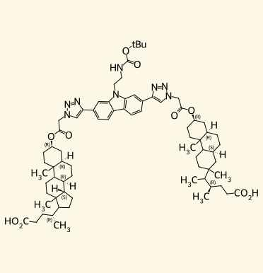 CC([C@H](C)CCC(=O)O)C1(C)CCC2[C@@H](CC[C@@H]3C[C@H](OC(=O)Cn4cc(-c5ccc6c7ccc(-c8cn(CC(=O)O[C@@H]9CCC%10(C)C%11CCC%12(C)C([C@H](C)CCC(=O)O)CC[C@H]%12[C@@H]%11CC[C@@H]%10C9)nn8)cc7n(CCNC(=O)OC(C)(C)C)c6c5)nn4)CCC23C)C1